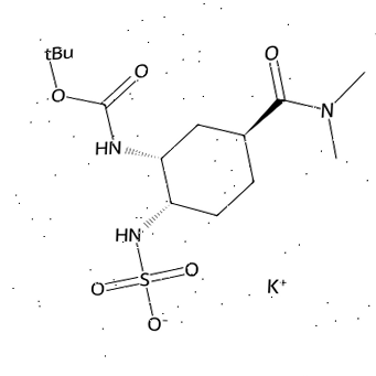 CN(C)C(=O)[C@H]1CC[C@H](NS(=O)(=O)[O-])[C@H](NC(=O)OC(C)(C)C)C1.[K+]